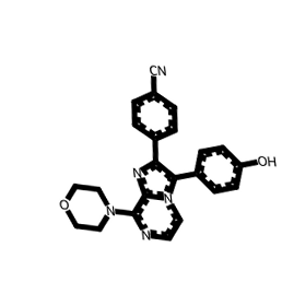 N#Cc1ccc(-c2nc3c(N4CCOCC4)nccn3c2-c2ccc(O)cc2)cc1